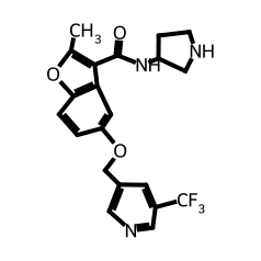 Cc1oc2ccc(OCc3cncc(C(F)(F)F)c3)cc2c1C(=O)NC1CCNC1